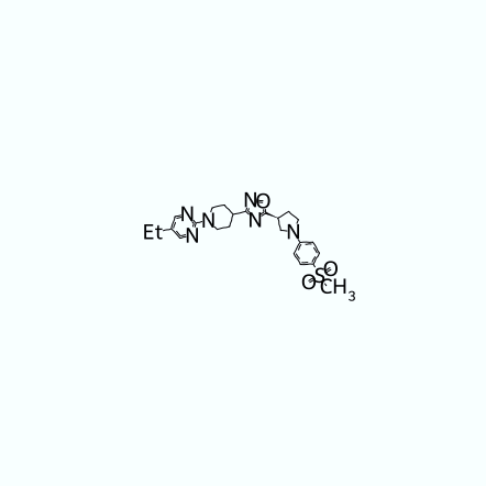 CCc1cnc(N2CCC(c3noc([C@H]4CCN(c5ccc(S(C)(=O)=O)cc5)C4)n3)CC2)nc1